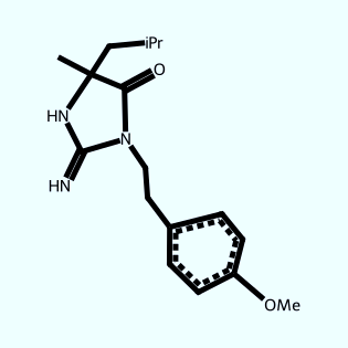 COc1ccc(CCN2C(=N)NC(C)(CC(C)C)C2=O)cc1